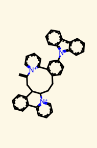 C=C1CC2c3ccccc3-c3cccc[n+]3C2CCc2ccc(-n3c4ccccc4c4ccccc43)cc2-c2cccc[n+]21